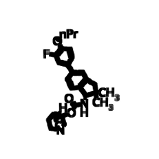 CCCOc1ccc(-c2ccc3c(c2)CC(C)(C)[C@H]3NC(=O)O[C@@H]2CN3CCC2CC3)cc1F